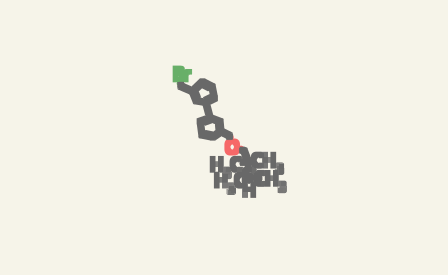 C[SiH](C)C(C)(C)COCc1cccc(-c2cccc(CBr)c2)c1